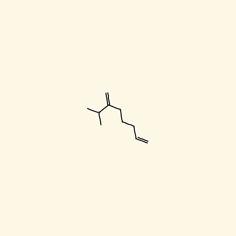 C=CCCCC(=C)[C](C)C